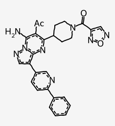 CC(=O)c1c(C2CCN(C(=O)c3cnon3)CC2)nc2c(-c3ccc(-c4ccccc4)nc3)cnn2c1N